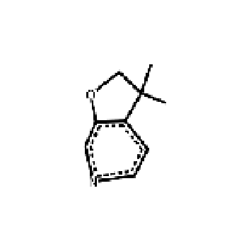 CC1(C)COc2cnccc21